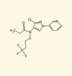 CCC(=O)N(SCCC(F)(F)F)c1cn(-c2cccnc2)nc1Cl